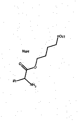 CCCCCCCCCCCCOC(=O)C(N)C(C)C.[NaH]